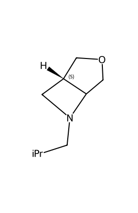 CC(C)CN1C[C@@H]2COCC21